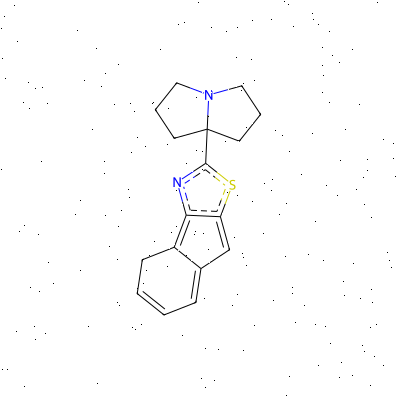 C1=CCC2=c3nc(C45CCCN4CCC5)sc3=CC2=C1